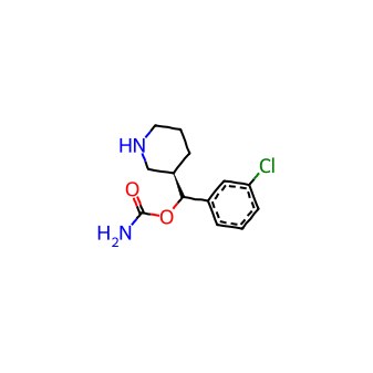 NC(=O)OC(c1cccc(Cl)c1)[C@@H]1CCCNC1